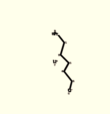 CCCCCCCC[O-].[Li+]